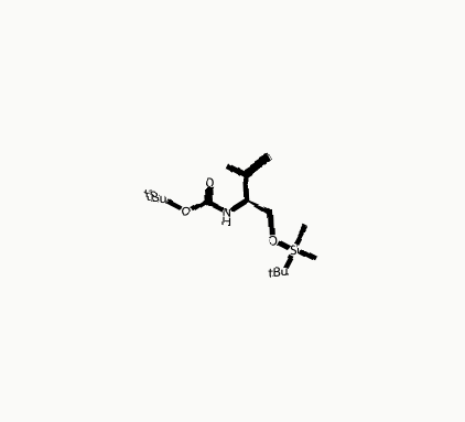 C=C(C)[C@@H](CO[Si](C)(C)C(C)(C)C)NC(=O)OC(C)(C)C